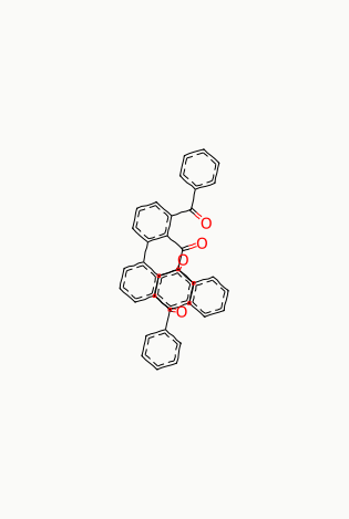 O=C(c1ccccc1)c1cccc(-c2cccc(C(=O)c3ccccc3)c2C(=O)c2ccccc2)c1C(=O)c1ccccc1